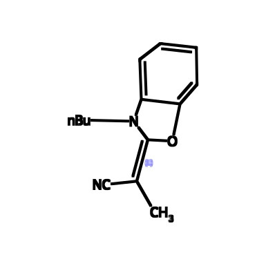 CCCCN1/C(=C(/C)C#N)Oc2ccccc21